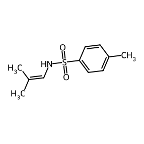 CC(C)=CNS(=O)(=O)c1ccc(C)cc1